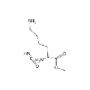 COC(=O)C(N)CCCCN.N=C=O